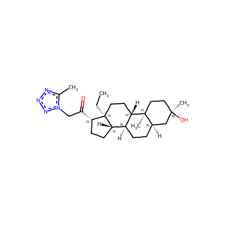 CC[C@]12CC[C@H]3[C@@H](CC[C@@H]4C[C@](C)(O)CC[C@@]43C)[C@@H]1CC[C@@H]2C(=O)Cn1nnnc1C